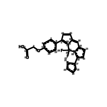 O=C(O)COc1ccc(C2=[N+]3C(=Cc4ccc(-c5cccs5)n4[B-]3(F)F)C=C2)cc1